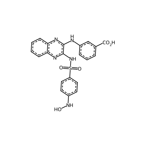 O=C(O)c1cccc(Nc2nc3ccccc3nc2NS(=O)(=O)c2ccc(NO)cc2)c1